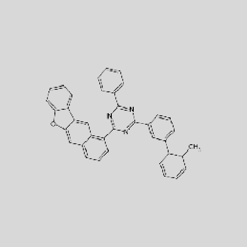 CC1C=CC=CC1c1cccc(-c2nc(-c3ccccc3)nc(-c3cccc4cc5oc6ccccc6c5cc34)n2)c1